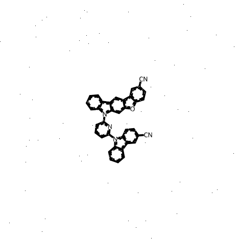 N#Cc1ccc2oc3cc4c(cc3c2c1)c1ccccc1n4-c1cccc(-n2c3ccccc3c3cc(C#N)ccc32)n1